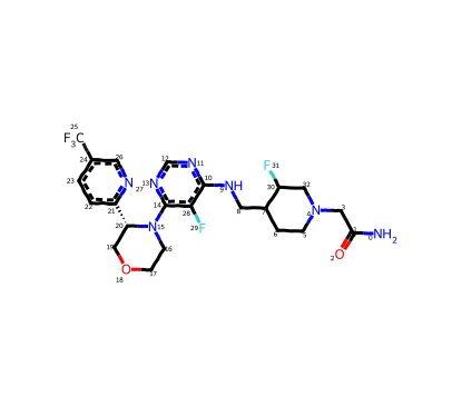 NC(=O)CN1CCC(CNc2ncnc(N3CCOC[C@@H]3c3ccc(C(F)(F)F)cn3)c2F)C(F)C1